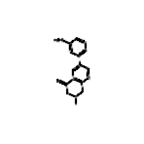 CC(=O)Nc1cccc(-c2cc3c(nn2)CC(C)CC3=O)c1